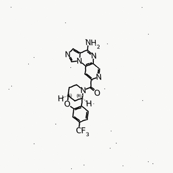 Nc1nc2cnc(C(=O)N3CC[C@H]4C[C@@H]3c3ccc(C(F)(F)F)cc3O4)cc2n2cncc12